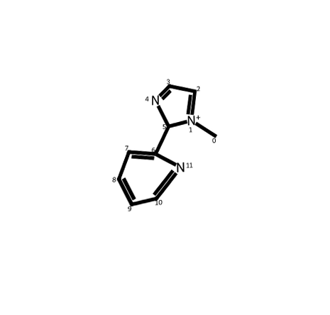 C[N+]1=CC=NC1c1ccccn1